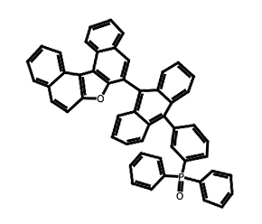 O=P(c1ccccc1)(c1ccccc1)c1cccc(-c2c3ccccc3c(-c3cc4ccccc4c4c3oc3ccc5ccccc5c34)c3ccccc23)c1